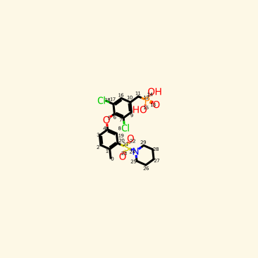 Cc1ccc(Oc2c(Cl)cc(CP(=O)(O)O)cc2Cl)cc1S(=O)(=O)N1CCCCC1